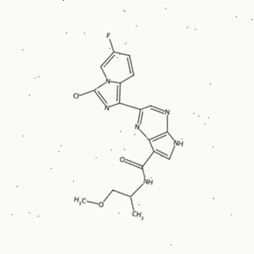 COCC(C)NC(=O)c1c[nH]c2ncc(-c3nc(Cl)n4cc(F)ccc34)nc12